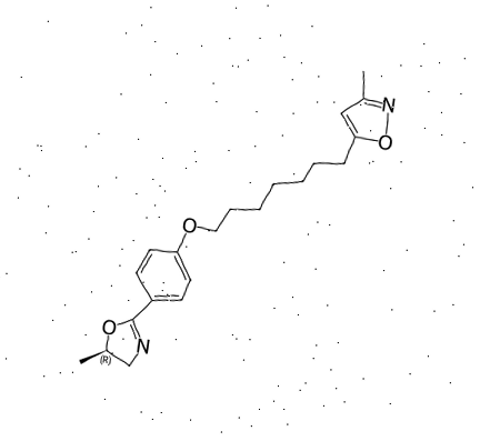 Cc1cc(CCCCCCCOc2ccc(C3=NC[C@@H](C)O3)cc2)on1